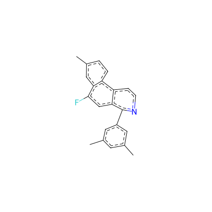 Cc1cc(C)cc(-c2nccc3c2cc(F)c2cc(C)ccc23)c1